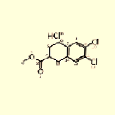 COC(=O)C1CCc2cc(Cl)c(Cl)cc2C1.Cl